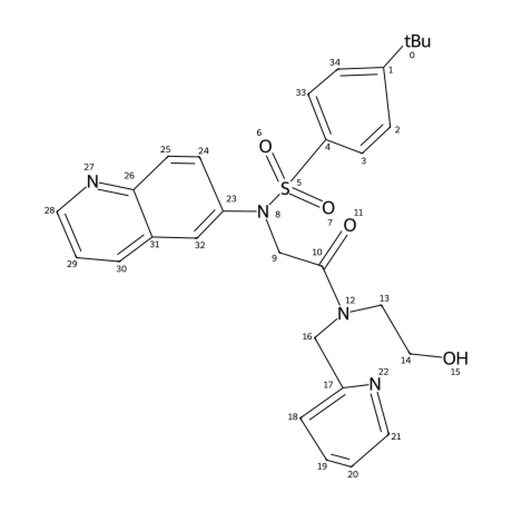 CC(C)(C)c1ccc(S(=O)(=O)N(CC(=O)N(CCO)Cc2ccccn2)c2ccc3ncccc3c2)cc1